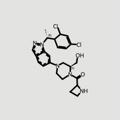 C[C@H](C1C=CC(Cl)=CC1Cl)n1ncc2ccc(N3CCN(C(=O)C4CCN4)[C@H](CO)C3)cc21